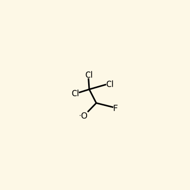 [O]C(F)C(Cl)(Cl)Cl